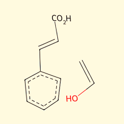 C=CO.O=C(O)C=Cc1ccccc1